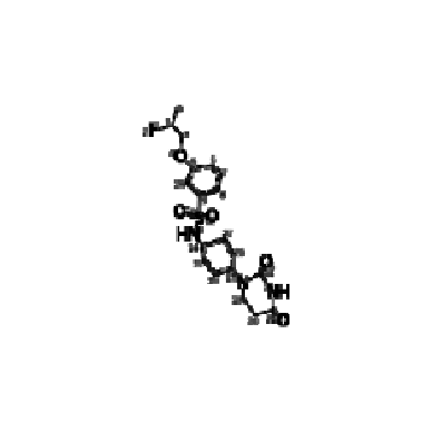 CC(F)COc1cccc(S(=O)(=O)Nc2ccc(N3CCC(=O)NC3=O)cc2)c1